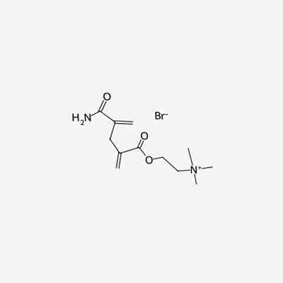 C=C(CC(=C)C(=O)OCC[N+](C)(C)C)C(N)=O.[Br-]